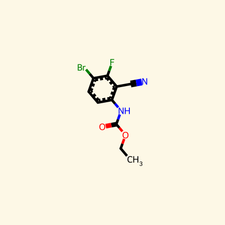 CCOC(=O)Nc1ccc(Br)c(F)c1C#N